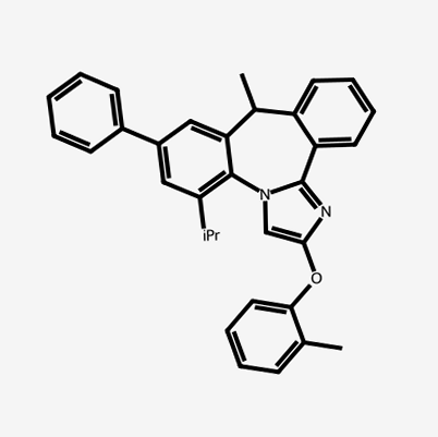 Cc1ccccc1Oc1cn2c(n1)-c1ccccc1C(C)c1cc(-c3ccccc3)cc(C(C)C)c1-2